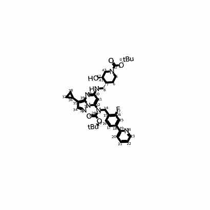 CC(C)(C)OC(=O)N1CC[C@H](CNc2cc(N(Cc3ccc(-c4ccccn4)cc3F)C(=O)OC(C)(C)C)n3ncc(C4CC4)c3n2)[C@@H](O)C1